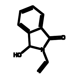 C=CN1C(=O)c2ccccc2C1O